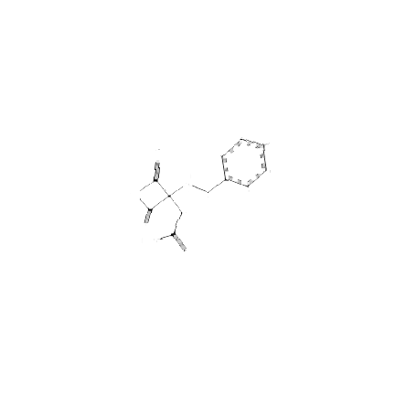 NC(=O)CC1(NCc2ccccc2)C(=O)SC1=O